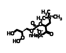 CCCCCCCC(=O)C(C[N+](C)(C)C)OP(=O)([O-])OC[C@@H](CO)OO